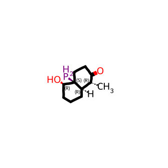 C[C@H]1C(=O)CC[C@@]2(P)[C@H](O)CCC[C@H]12